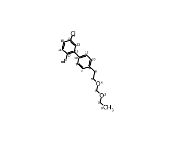 CCOCOCCc1ccc(-c2cc(Cl)ccc2F)cc1